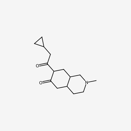 CN1CCC2CC(=O)C(C(=O)CC3CC3)CC2C1